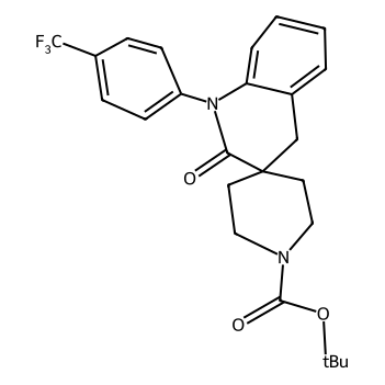 CC(C)(C)OC(=O)N1CCC2(CC1)Cc1ccccc1N(c1ccc(C(F)(F)F)cc1)C2=O